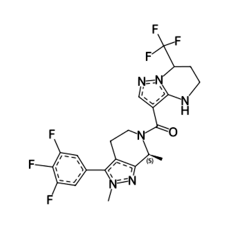 C[C@H]1c2nn(C)c(-c3cc(F)c(F)c(F)c3)c2CCN1C(=O)c1cnn2c1NCCC2C(F)(F)F